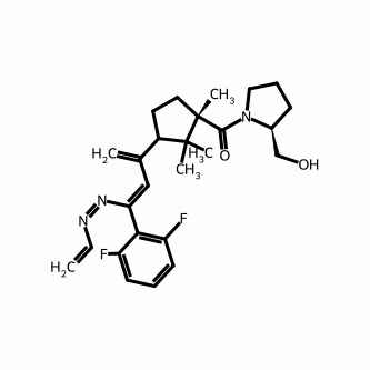 C=C/N=N\C(=C/C(=C)C1CC[C@](C)(C(=O)N2CCC[C@H]2CO)C1(C)C)c1c(F)cccc1F